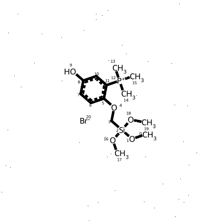 CO[Si](COc1ccc(O)cc1[P+](C)(C)C)(OC)OC.[Br-]